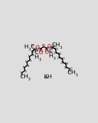 CCCCCCCCCCC(C)(C)OC(=O)CC(=O)OC(C)(C)CCCCCCCCCC.[KH]